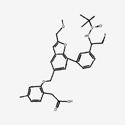 COCc1cc2cc(COc3cc(C)ccc3CC(=O)O)cc(-c3cccc(C(CF)N[S@+]([O-])C(C)(C)C)c3)c2o1